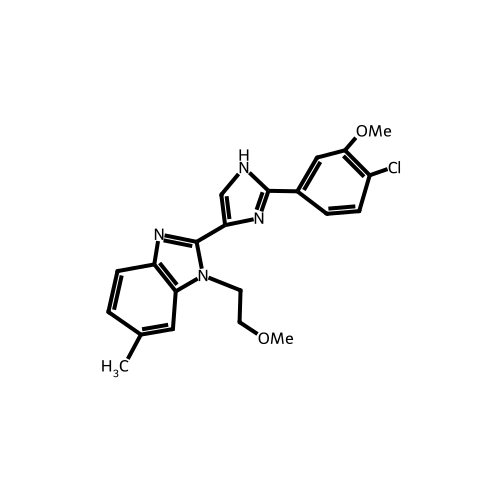 COCCn1c(-c2c[nH]c(-c3ccc(Cl)c(OC)c3)n2)nc2ccc(C)cc21